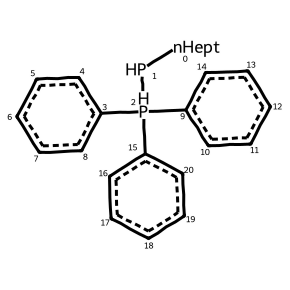 CCCCCCCP[PH](c1ccccc1)(c1ccccc1)c1ccccc1